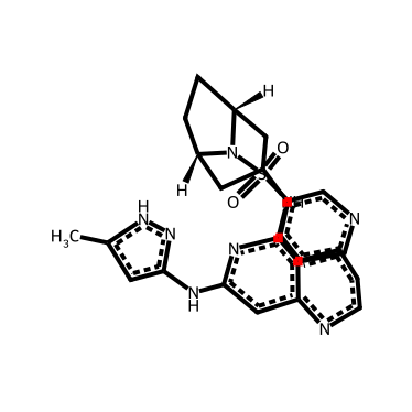 Cc1cc(Nc2cc3ncccc3c(NC3C[C@H]4CC[C@@H](C3)N4S(=O)(=O)c3cccnc3)n2)n[nH]1